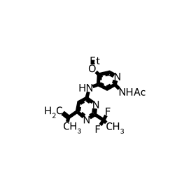 C=C(C)c1cc(Nc2cc(NC(C)=O)ncc2OCC)nc(C(C)(F)F)n1